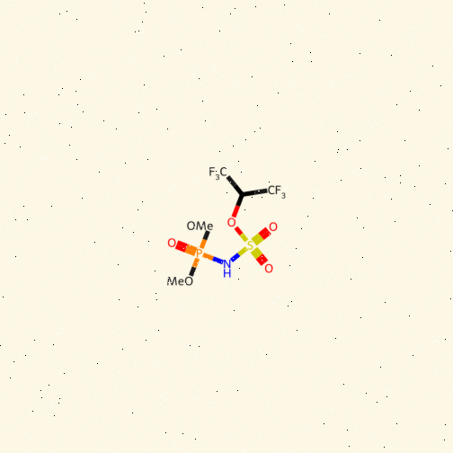 COP(=O)(NS(=O)(=O)OC(C(F)(F)F)C(F)(F)F)OC